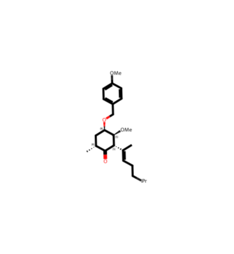 COc1ccc(CO[C@@H]2C[C@@H](C)C(=O)[C@@H](C(C)=CCCC(C)C)[C@@H]2OC)cc1